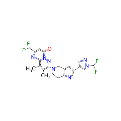 Cc1c(N2CCc3ncc(-c4cnn(C(F)F)c4)cc3C2)nn2c(=O)cc(C(F)F)nc2c1C